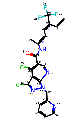 C=C/C(=C\C=C(/C)NC(=O)c1cnc2c(c(Cl)nn2Cc2ccccn2)c1Cl)C(F)(F)F